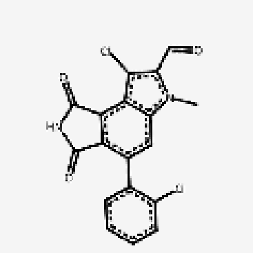 Cn1c(C=O)c(Cl)c2c3c(c(-c4ccccc4Cl)cc21)C(=O)NC3=O